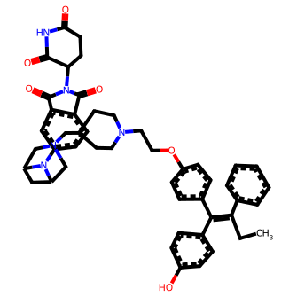 CCC(=C(c1ccc(O)cc1)c1ccc(OCCN2CCC(CN3CC4CC(C3)N4c3ccc4c(c3)C(=O)N(C3CCC(=O)NC3=O)C4=O)CC2)cc1)c1ccccc1